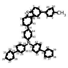 Cc1ccc(-c2ccc3sc4ccc(-c5ccc(N(c6ccc(-c7ccccc7)cc6)c6ccc(-c7ccccc7)cc6)cc5)cc4c3c2)cc1